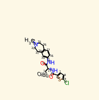 CC(C)COCC(NC(=O)c1ccc(Cl)s1)C(=O)Nc1ccc2c(c1)CCN(C)CC2